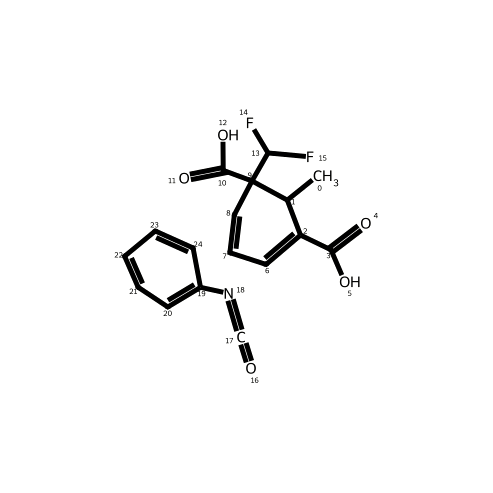 CC1C(C(=O)O)=CC=CC1(C(=O)O)C(F)F.O=C=Nc1ccccc1